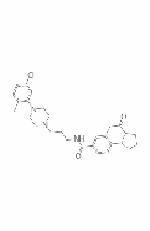 Cc1ccc(Cl)cc1N1CCN(CCCNC(=O)c2ccc3c(c2)CC(=O)C2CCCC32)CC1